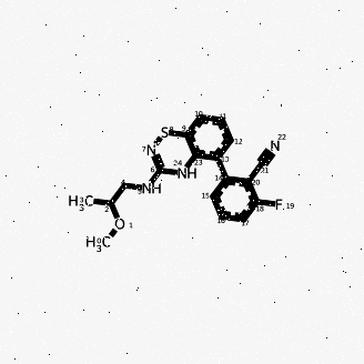 COC(C)CNC1=NSc2cccc(-c3cccc(F)c3C#N)c2N1